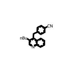 CCCCc1cnc2ccccc2c1Cc1ccc(C#N)cc1